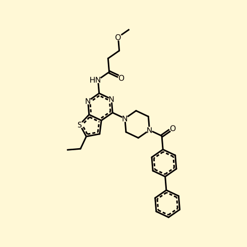 CCc1cc2c(N3CCN(C(=O)c4ccc(-c5ccccc5)cc4)CC3)nc(NC(=O)CCOC)nc2s1